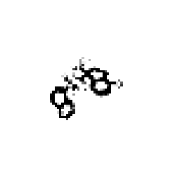 O=C(NS(=O)(=O)c1cccc2ccccc12)C1(CBr)CCc2c(Cl)cccc21